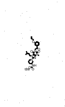 C=CCOc1cccc(C(=O)Cn2c(=O)c3c(nc(N4CCCC(NC(=O)OC(C)(C)C)C4)n3CC=C(C)C)n(C)c2=O)c1